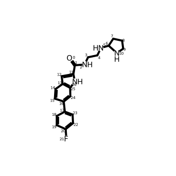 O=C(NCCNC1CCCN1)c1cc2ccc(-c3ccc(F)cc3)cc2[nH]1